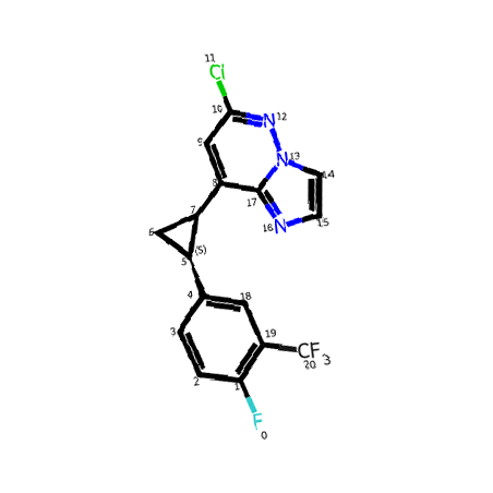 Fc1ccc([C@H]2CC2c2cc(Cl)nn3ccnc23)cc1C(F)(F)F